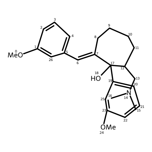 COc1cccc(C=C2CCCCC(CN(C)C)C2(O)c2cccc(OC)c2)c1